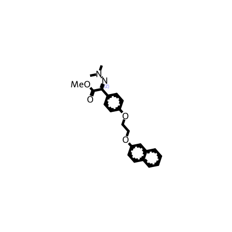 COC(=O)/C(=N\N(C)C)c1ccc(OCCOc2ccc3ccccc3c2)cc1